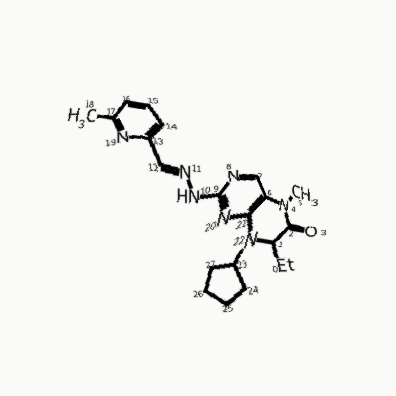 CCC1C(=O)N(C)c2cnc(NN=Cc3cccc(C)n3)nc2N1C1CCCC1